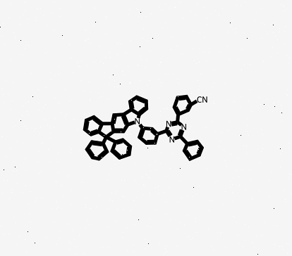 N#Cc1cccc(-c2nc(-c3ccccc3)nc(-c3cccc(-n4c5ccccc5c5cc6c(cc54)C(c4ccccc4)(c4ccccc4)c4ccccc4-6)c3)n2)c1